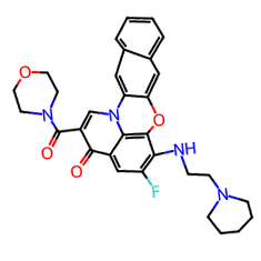 O=C(c1cn2c3c(c(NCCN4CCCCC4)c(F)cc3c1=O)Oc1cc3ccccc3cc1-2)N1CCOCC1